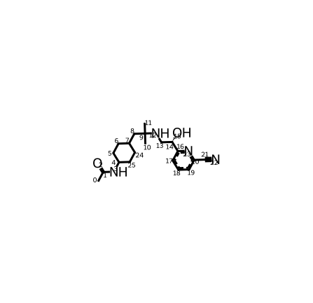 CC(=O)NC1CCC(CC(C)(C)NC[C@H](O)c2cccc(C#N)n2)CC1